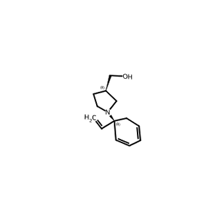 C=C[C@@]1(N2CC[C@@H](CO)C2)C=CC=CC1